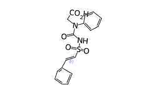 O=C(O)CN(C(=O)NS(=O)(=O)/C=C/c1ccccc1)c1ccccc1